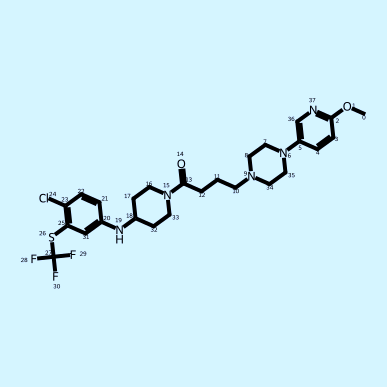 COc1ccc(N2CCN(CCCC(=O)N3CCC(Nc4ccc(Cl)c(SC(F)(F)F)c4)CC3)CC2)cn1